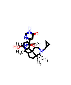 CCCc1ccc(O)cc1C12CCN(CC3CC3)C(C)C1(C)CCC2C(C)N(C)C(=O)c1cc(=O)[nH]cn1